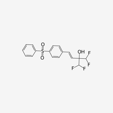 O=S(=O)(c1ccccc1)c1ccc(/C=C/C(O)(C(F)F)C(F)F)cc1